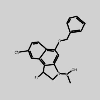 [C-]#[N+]c1ccc2c(OCc3ccccc3)cc3c(c2c1)C(CC)CN3B(C)O